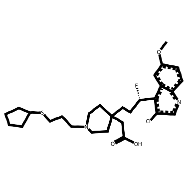 COc1ccc2ncc(Cl)c([C@@H](F)CCC3(CC(=O)O)CCN(CCCSC4CCCC4)CC3)c2c1